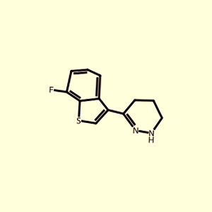 Fc1cccc2c(C3=NNCCC3)csc12